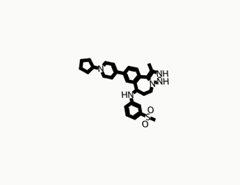 CC1=C2c3ccc(C4=CCN(C5CCCC5)CC4)cc3C(Nc3cccc(S(C)(=O)=O)c3)CCN2NN1